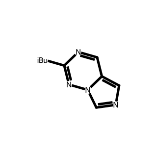 CCC(C)c1ncc2cncn2n1